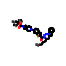 CCCCC(Cc1cc2ccccc2[nH]1)NC(=O)c1cc2ccc(N3CCC4(CC3)CN(C(=O)OC(C)(C)C)C4)cc2s1